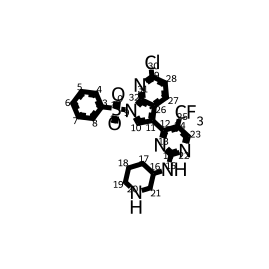 O=S(=O)(c1ccccc1)n1cc(-c2nc(NC3CCCNC3)ncc2C(F)(F)F)c2ccc(Cl)nc21